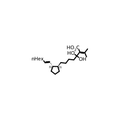 CCCCCCC=C[C@H]1CCC[C@@H]1CCCCC(O)(O)C(C(=O)O)=C(C)C